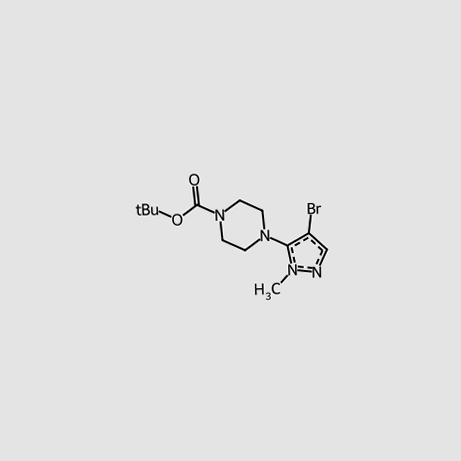 Cn1ncc(Br)c1N1CCN(C(=O)OC(C)(C)C)CC1